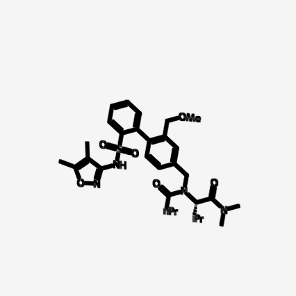 CCCC(=O)N(Cc1ccc(-c2ccccc2S(=O)(=O)Nc2noc(C)c2C)c(COC)c1)[C@H](C(=O)N(C)C)C(C)C